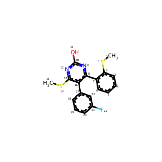 CSc1ccccc1-c1nc(O)nc(SC)c1-c1cccc(F)c1